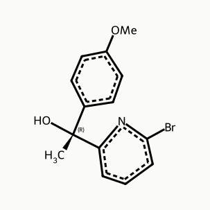 COc1ccc([C@@](C)(O)c2cccc(Br)n2)cc1